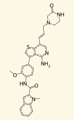 COc1cc(-c2csc3c(C=CCN4CCNC(=O)C4)cnc(N)c23)ccc1NC(=O)c1cc2ccccc2n1C